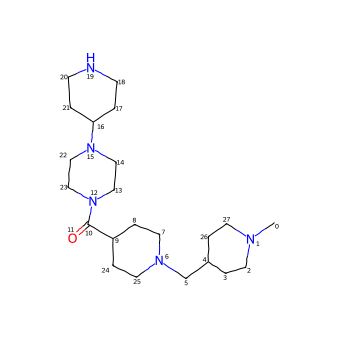 CN1CCC(CN2CCC(C(=O)N3CCN(C4CCNCC4)CC3)CC2)CC1